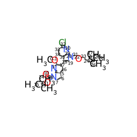 COc1nc2c(ccn2C(=O)OC(C)(C)C)cc1-c1cn(COCC[Si](C)(C)C)c2nc(Cl)ccc12